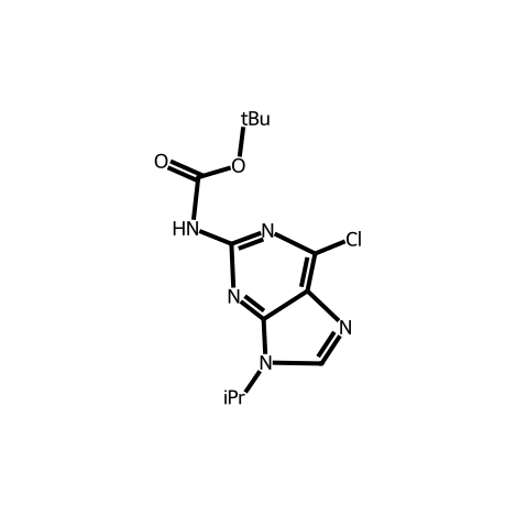 CC(C)n1cnc2c(Cl)nc(NC(=O)OC(C)(C)C)nc21